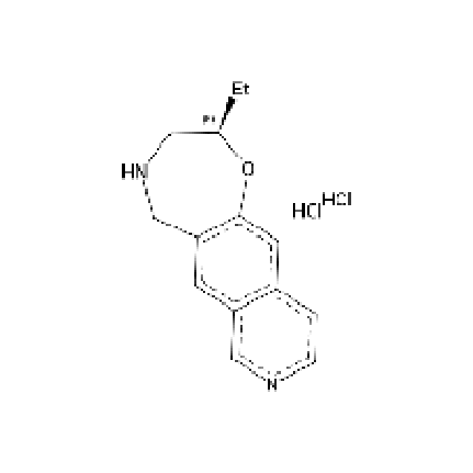 CC[C@@H]1CNCc2cc3cnccc3cc2O1.Cl.Cl